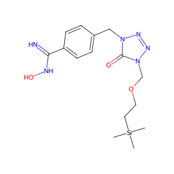 C[Si](C)(C)CCOCn1nnn(Cc2ccc(C(=N)NO)cc2)c1=O